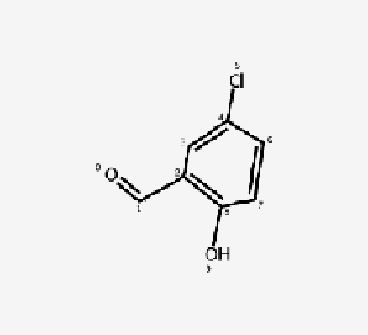 O=[C]c1cc(Cl)ccc1O